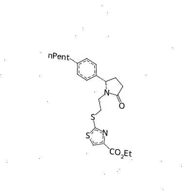 CCCCCc1ccc(C2CCC(=O)N2CCSc2nc(C(=O)OCC)cs2)cc1